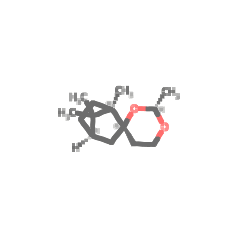 C[C@@H]1OCC[C@]2(C[C@H]3CC[C@]2(C)C3(C)C)O1